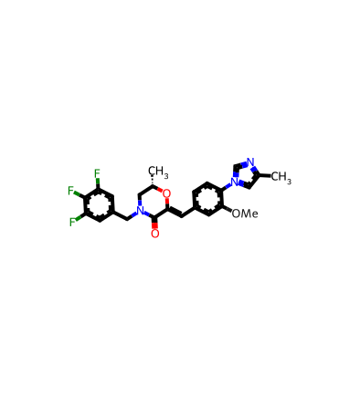 COc1cc(/C=C2\O[C@@H](C)CN(Cc3cc(F)c(F)c(F)c3)C2=O)ccc1-n1cnc(C)c1